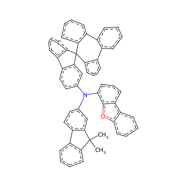 CC1(C)c2ccccc2-c2ccc(N(c3ccc4c(c3)C3(c5ccccc5-c5ccccc5-c5ccccc53)c3ccccc3-4)c3cccc4c3oc3ccccc34)cc21